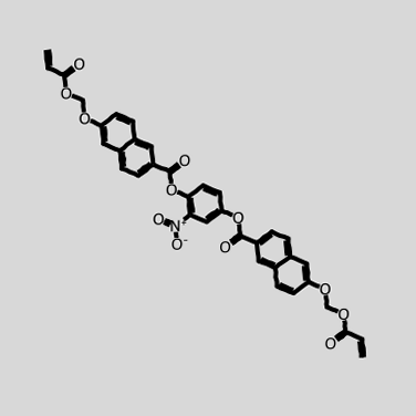 C=CC(=O)OCOc1ccc2cc(C(=O)Oc3ccc(OC(=O)c4ccc5cc(OCOC(=O)C=C)ccc5c4)c([N+](=O)[O-])c3)ccc2c1